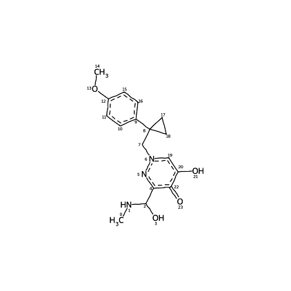 CNC(O)c1nn(CC2(c3ccc(OC)cc3)CC2)cc(O)c1=O